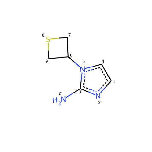 Nc1nccn1C1CSC1